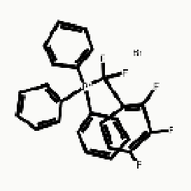 Fc1ccc(C(F)(F)[P+](c2ccccc2)(c2ccccc2)c2ccccc2)c(F)c1F.[Br-]